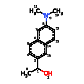 CC(O)c1ccc2cc(N(C)C)ccc2c1